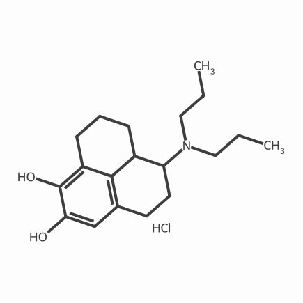 CCCN(CCC)C1CCc2cc(O)c(O)c3c2C1CCC3.Cl